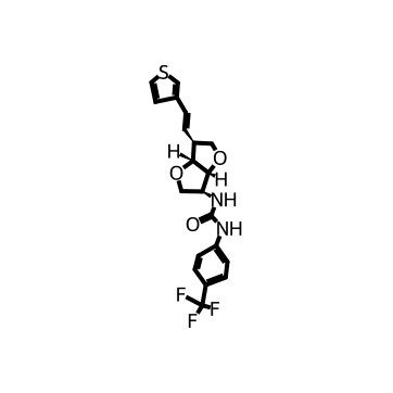 O=C(Nc1ccc(C(F)(F)F)cc1)N[C@H]1CO[C@H]2[C@@H]1OC[C@@H]2C=Cc1ccsc1